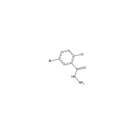 NNC(=O)c1cc(Br)ccc1Cl